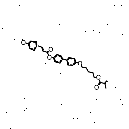 C=C(C)C(=O)OCCCCCOc1ccc(-c2ccc(OC(=O)C=Cc3ccc(OC)cc3)cc2)cc1